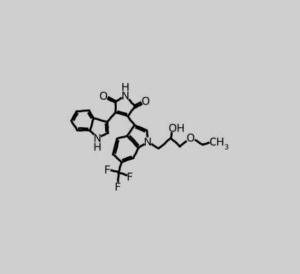 CCOCC(O)Cn1cc(C2=C(c3c[nH]c4ccccc34)C(=O)NC2=O)c2ccc(C(F)(F)F)cc21